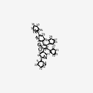 O=S1(=O)C(c2ccc(-c3ccccn3)nc2)=C(c2ccccc2)C(c2ccccc2)=C1c1ccc(-c2ccccn2)nc1